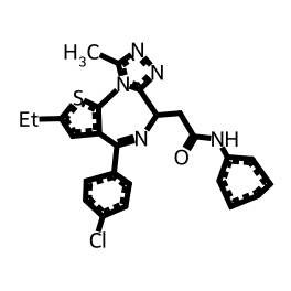 CCc1cc2c(s1)-n1c(C)nnc1C(CC(=O)Nc1ccccc1)N=C2c1ccc(Cl)cc1